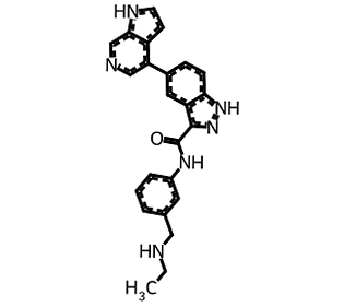 CCNCc1cccc(NC(=O)c2n[nH]c3ccc(-c4cncc5[nH]ccc45)cc23)c1